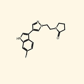 O=C1CCCN1CCn1cc(-c2c[nH]c3cc(F)ccc23)cn1